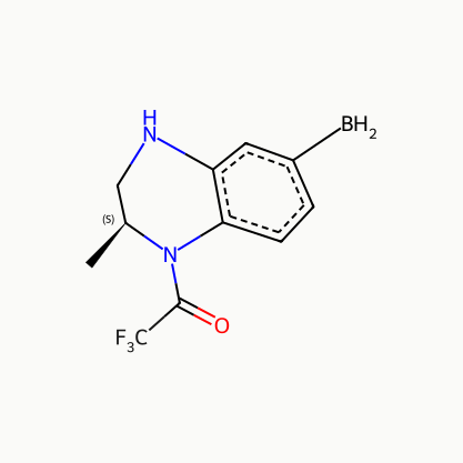 Bc1ccc2c(c1)NC[C@H](C)N2C(=O)C(F)(F)F